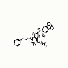 Nc1ncn(CCCc2ccccc2)c2nc(Sc3cc4c(cc3Br)OCO4)nc1-2